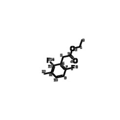 CCOC(=O)Cc1c(F)ccc(C)c1F